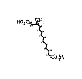 CC(CCCCCCCCCCC(=O)O)CC(=O)O